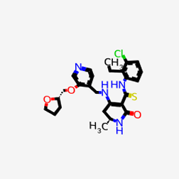 CCc1c(Cl)cccc1NC(=S)C1=C(NCc2ccncc2OC[C@@H]2CCCO2)C[C@@H](C)NC1=O